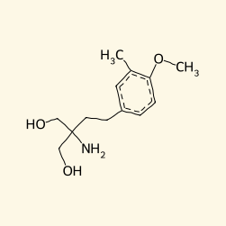 COc1ccc(CCC(N)(CO)CO)cc1C